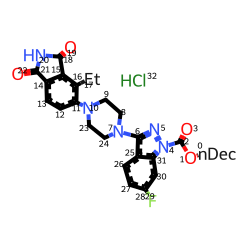 CCCCCCCCCCOC(=O)n1nc(N2CCN(c3ccc4c(c3CC)C(=O)NC4=O)CC2)c2ccc(F)cc21.Cl